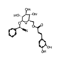 N#C[C@H](O[C@@H]1O[C@H](COC(=O)/C=C/c2ccc(O)c(O)c2)[C@@H](O)[C@H](O)[C@H]1O)c1ccccc1